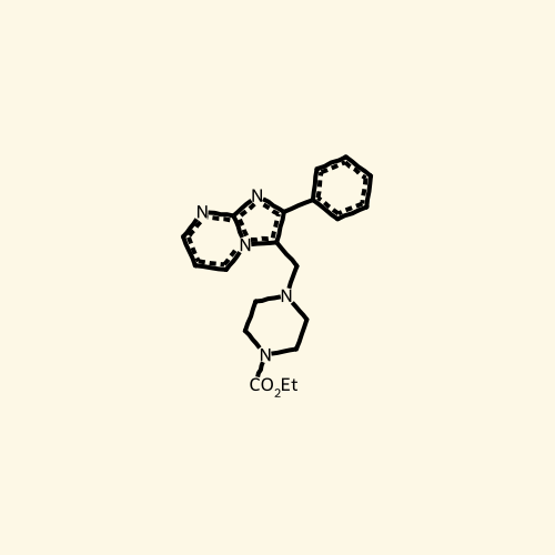 CCOC(=O)N1CCN(Cc2c(-c3ccccc3)nc3ncccn23)CC1